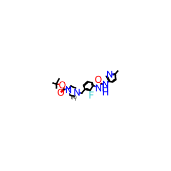 Cc1ccc(NC(=O)Nc2cccc(CN3CCN(C(=O)OC(C)(C)C)C[C@H]3C)c2F)cn1